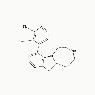 Clc1cccc(-c2cccc3c2N2CCNCCC2C3)c1Cl